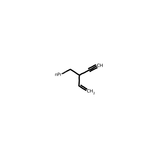 C#C[C](C=C)CCCC